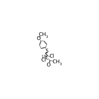 COc1ccc(SS[13C](Cl)(Cl)C(C)=O)cc1